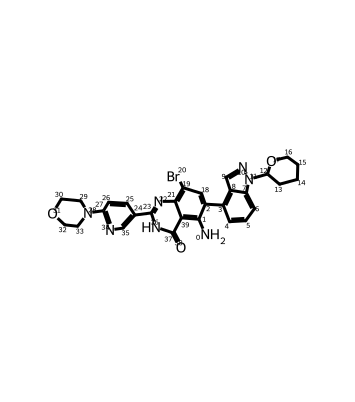 Nc1c(-c2cccc3c2cnn3C2CCCCO2)cc(Br)c2nc(-c3ccc(N4CCOCC4)nc3)[nH]c(=O)c12